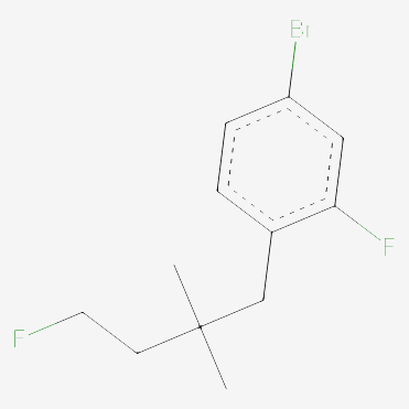 CC(C)(CCF)Cc1ccc(Br)cc1F